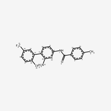 Cc1ccc(C(=O)Nc2ccc(-c3cc(C(F)(F)F)ccc3C(F)(F)F)c(N)n2)cc1